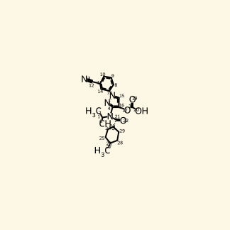 CC(C)N(c1nn(-c2cccc(C#N)c2)cc1OC(=O)O)C(=O)[C@H]1CC[C@H](C)CC1